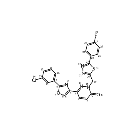 O=c1ccc(-c2noc(-c3cccc(Cl)c3)n2)nn1Cc1nnc(-c2ccc(F)cc2)s1